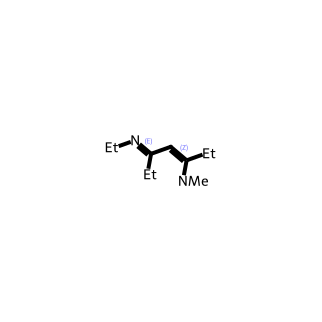 CC/N=C(/C=C(/CC)NC)CC